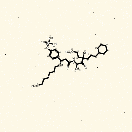 CCCCCCCCCCCCCCCCNC(CC(=O)NC(C)C(=O)C(N)(CCCC1CCCCC1)CCC(=O)O)c1ccc(OP(=O)(O)O)cc1